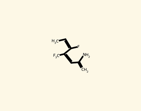 C=C(N)/C=C(\C(F)=C/C)C(F)(F)F